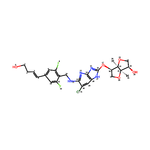 OCC/C=C/c1cc(F)c(CNc2nc3nc(O[C@@H]4CO[C@H]5[C@@H]4OC[C@H]5O)[nH]c3cc2Cl)c(F)c1